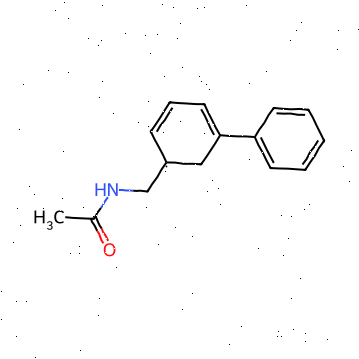 CC(=O)NC[C]1C=CC=C(c2ccccc2)C1